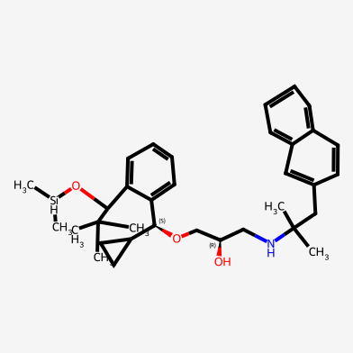 C[SiH](C)OC(c1ccccc1[C@@H](OC[C@H](O)CNC(C)(C)Cc1ccc2ccccc2c1)C1CC1)C(C)(C)C